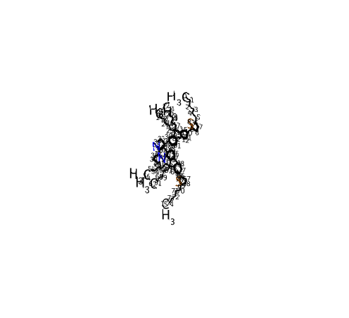 CCCCCCc1ccc(-c2ccc3c(c2)C(CCCCCC)(CCCCCC)c2cc(-c4ccnc(-c5ccccn5)c4-c4ccc5c(c4)C(CCCCCC)(CCCCCC)c4cc(-c6ccc(CCCCCC)s6)ccc4-5)ccc2-3)s1